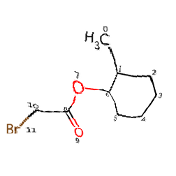 CC1CCCCC1OC(=O)CBr